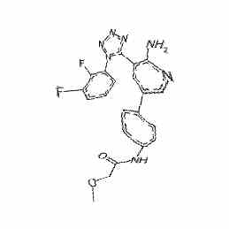 COCC(=O)Nc1ccc(-c2cnc(N)c(-c3nnnn3-c3cccc(F)c3F)c2)cc1